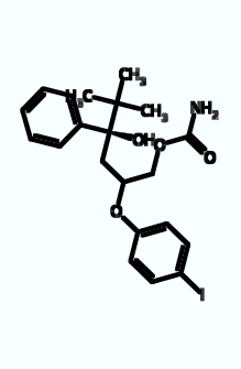 CC(C)(C)[C@](O)(CC(COC(N)=O)Oc1ccc(I)cc1)c1ccccc1